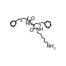 CC(C)(CSCc1ccccc1)C(=O)N[C@@H](CSCc1ccccc1)C(=O)NCCCCCCN